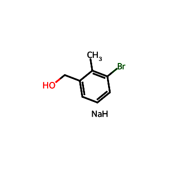 Cc1c(Br)cccc1CO.[NaH]